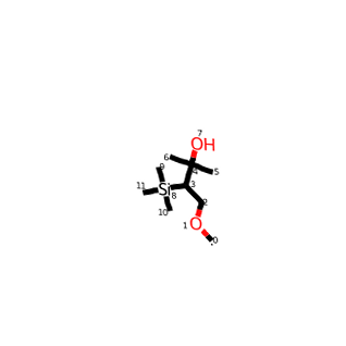 [CH2]OCC(C(C)(C)O)[Si](C)(C)C